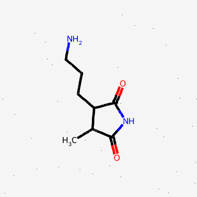 CC1C(=O)NC(=O)C1CCCN